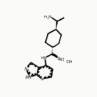 CC(N)[C@H]1CC[C@H](C(=O)Nc2ccnc3[nH]ncc23)CC1.Cl.Cl